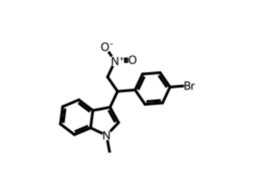 Cn1cc(C(C[N+](=O)[O-])c2ccc(Br)cc2)c2ccccc21